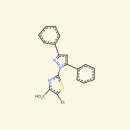 CCc1sc(-n2nc(-c3ccccc3)cc2-c2ccccc2)nc1C(=O)O